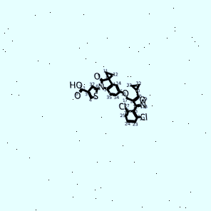 O=C(O)c1csc(N2C(=O)C3(CC3)c3cc(OCc4c(-c5c(Cl)cccc5Cl)noc4C4CC4)ccc32)c1